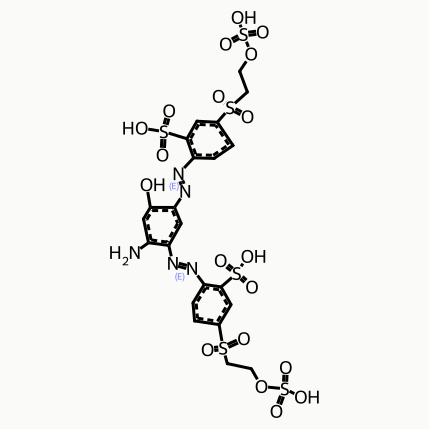 Nc1cc(O)c(/N=N/c2ccc(S(=O)(=O)CCOS(=O)(=O)O)cc2S(=O)(=O)O)cc1/N=N/c1ccc(S(=O)(=O)CCOS(=O)(=O)O)cc1S(=O)(=O)O